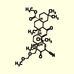 COCOC[C@@]1(C)C(=O)C(C#N)=C[C@]2(C)C3=CC(=O)C4C5CC(C)(C)CC[C@]5(C(=O)OC)CC[C@@]4(C)[C@]3(C)CC[C@@H]12